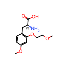 COCCOc1cc(OC)ccc1C[C@H](N)C(=O)O